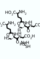 N[C@@H](CCC(=O)N[C@@H](CS)C(=O)NCC(=O)O)C(=O)O.N[C@@H](CCC(=O)N[C@@H](CS)C(=O)NCC(=O)O)C(=O)O.SS.[NaH]